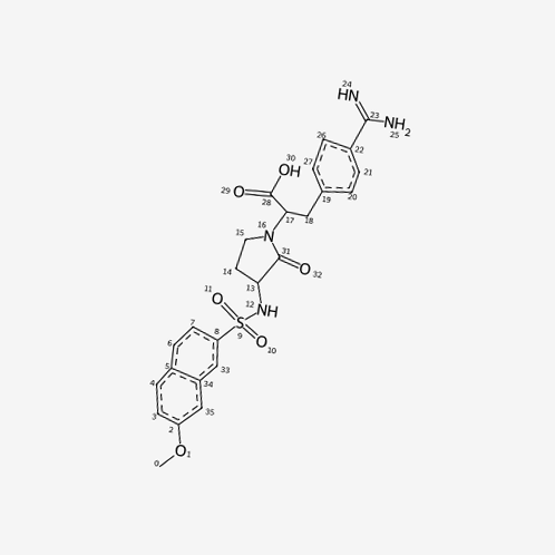 COc1ccc2ccc(S(=O)(=O)NC3CCN(C(Cc4ccc(C(=N)N)cc4)C(=O)O)C3=O)cc2c1